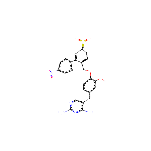 COc1cc(Cc2cnc(N)nc2N)ccc1OCC1=CCC(=S(=O)=O)C=C1c1ccc([N+](=O)[O-])cc1